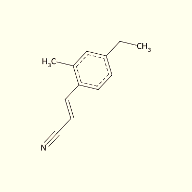 CCc1ccc(C=CC#N)c(C)c1